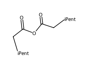 CCCC(C)CC(=O)OC(=O)CC(C)CCC